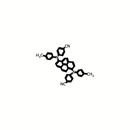 Cc1ccc(N(c2ccc(C#N)cc2)c2ccc3ccc4c(N(c5ccc(C)cc5)c5ccc(C#N)cc5)ccc5ccc2c3c54)cc1